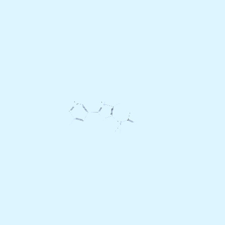 Cc1nc(-c2cncc(F)c2)sc1N(C)C(=O)I